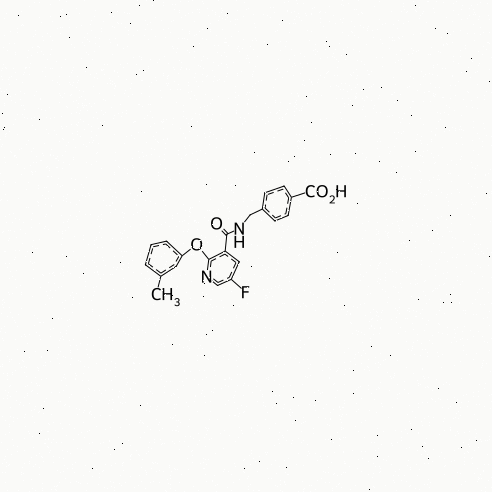 Cc1cccc(Oc2ncc(F)cc2C(=O)NCc2ccc(C(=O)O)cc2)c1